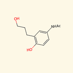 CC(=O)Nc1ccc(O)c(CCCO)c1